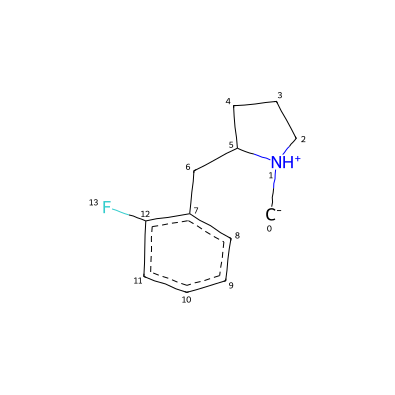 [CH2-][NH+]1CCCC1Cc1ccccc1F